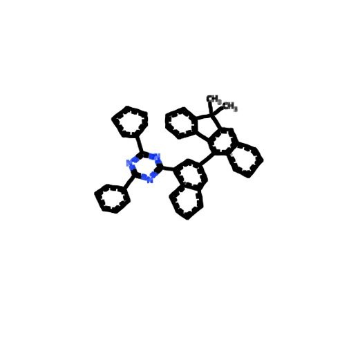 CC1(C)c2ccccc2-c2c1cc1ccccc1c2-c1cc(-c2nc(-c3ccccc3)nc(-c3ccccc3)n2)c2ccccc2c1